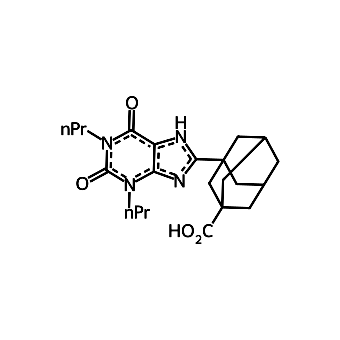 CCCn1c(=O)c2[nH]c(C34CC5CC(CC(C(=O)O)(C5)C3)C4)nc2n(CCC)c1=O